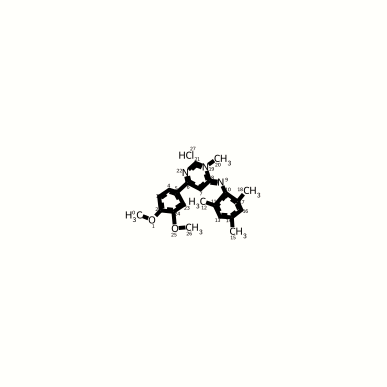 COc1ccc(-c2cc(=Nc3c(C)cc(C)cc3C)n(C)cn2)cc1OC.Cl